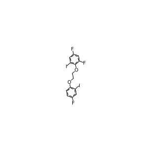 Fc1ccc(OCCOc2c(F)cc(F)cc2I)c(I)c1